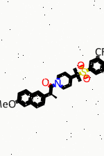 COc1ccc2cc([C@H](C)C(=O)N3CCC(C(C)(C)S(=O)(=O)c4cccc(C(F)(F)F)c4)CC3)ccc2c1